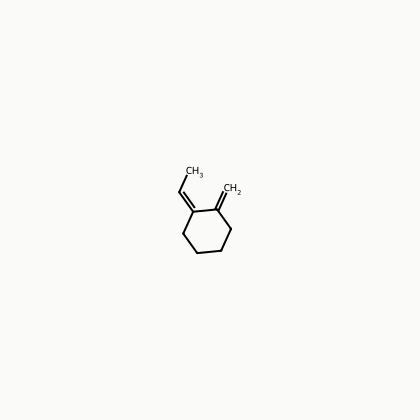 C=C1CCCC/C1=C/C